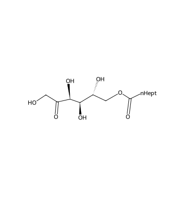 CCCCCCCC(=O)OC[C@@H](O)[C@@H](O)[C@H](O)C(=O)CO